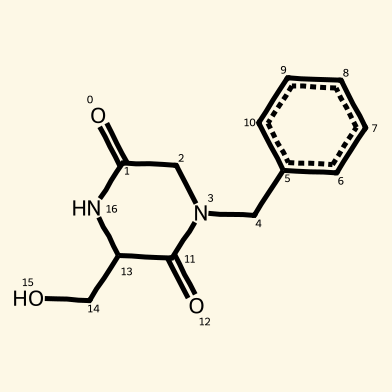 O=C1CN(Cc2ccccc2)C(=O)C(CO)N1